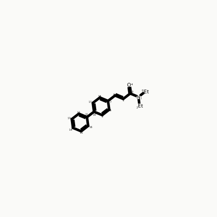 CCN(CC)C(=O)C=Cc1ccc(-c2ccccc2)cc1